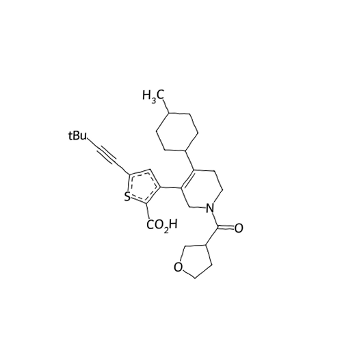 CC1CCC(C2=C(c3cc(C#CC(C)(C)C)sc3C(=O)O)CN(C(=O)C3CCOC3)CC2)CC1